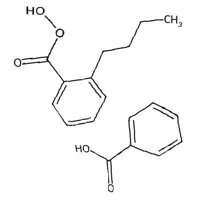 CCCCc1ccccc1C(=O)OO.O=C(O)c1ccccc1